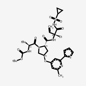 C=C[C@@](CC)(NC(=O)[C@@H]1C[C@@H](Oc2cc(C)nc(-c3cccs3)c2)CN1C(=O)[C@@H](NC(=O)OC(C)(C)C)C(C)(C)C)C(=O)NS(=O)(=O)C1CC1